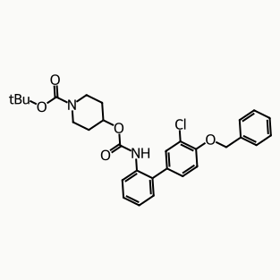 CC(C)(C)OC(=O)N1CCC(OC(=O)Nc2ccccc2-c2ccc(OCc3ccccc3)c(Cl)c2)CC1